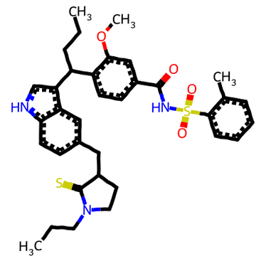 CCCC(c1ccc(C(=O)NS(=O)(=O)c2ccccc2C)cc1OC)c1c[nH]c2ccc(CC3CCN(CCC)C3=S)cc12